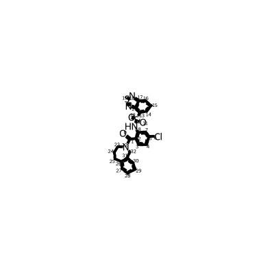 O=C(c1ccc(Cl)cc1NS(=O)(=O)c1cccc2nsnc12)N1CCCc2ccccc2C1